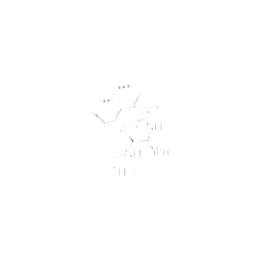 CCC(C)[C@H](NS(=O)(=O)c1cccc2ccccc12)C(=O)N[C@@H](C)C=O